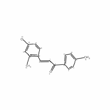 Cc1ccc(C(=O)/C=C/c2ccc(Cl)cc2C)cc1